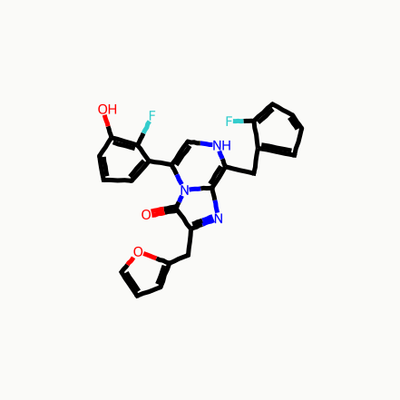 O=c1c(Cc2ccco2)nc2c(Cc3ccccc3F)[nH]cc(-c3cccc(O)c3F)n1-2